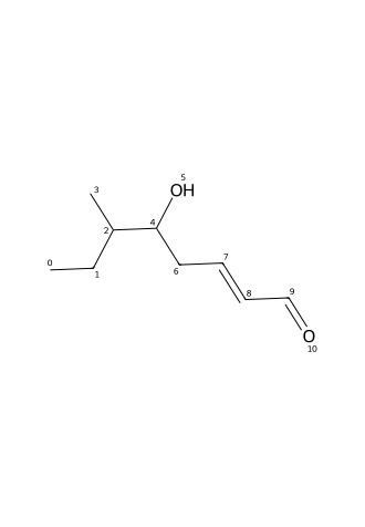 CCC(C)C(O)C/C=C/C=O